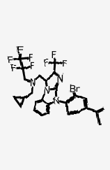 CC(C)c1ccc(N2C3=NC(C(F)(F)F)C(CN(CC4CC4)CC(F)(F)C(F)(F)F)N3c3ccccc32)c(Br)c1